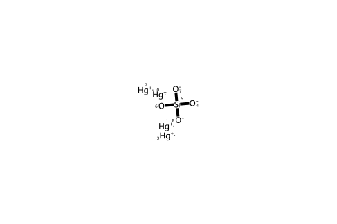 [Hg+].[Hg+].[Hg+].[Hg+].[O-][Si]([O-])([O-])[O-]